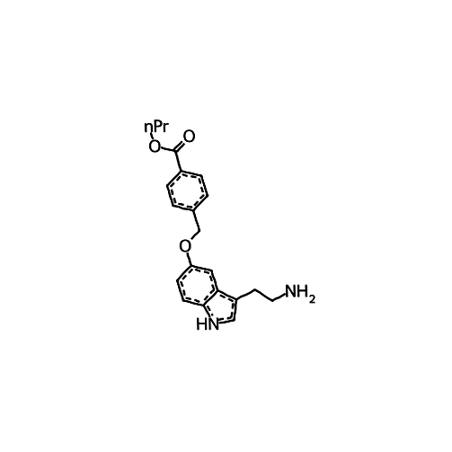 CCCOC(=O)c1ccc(COc2ccc3[nH]cc(CCN)c3c2)cc1